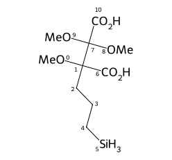 COC(CCC[SiH3])(C(=O)O)C(OC)(OC)C(=O)O